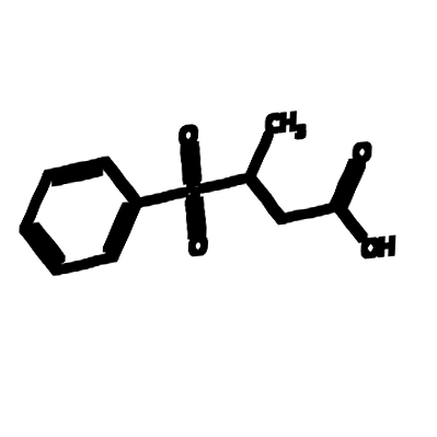 CC(CC(=O)O)S(=O)(=O)c1ccccc1